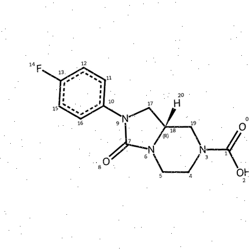 O=C(O)N1CCN2C(=O)N(c3ccc(F)cc3)C[C@@H]2C1